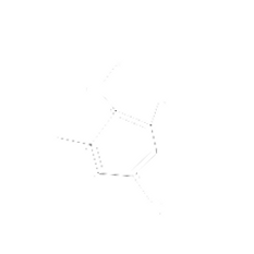 Cc1cc(C(C)C)cc(C)c1SC(C)C